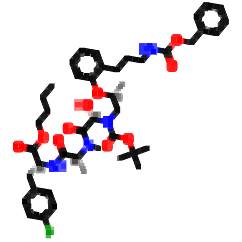 CCCCOC(=O)[C@@H](Cc1ccc(F)cc1)NC(=O)[C@@H](C)N(C)C(=O)[C@H](O)N(C[C@@H](C)Oc1ccccc1CCCNC(=O)OCc1ccccc1)C(=O)OC(C)(C)C